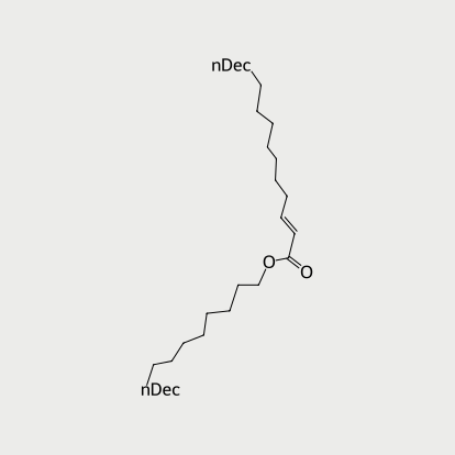 CCCCCCCCCCCCCCCCCC=CC(=O)OCCCCCCCCCCCCCCCCCC